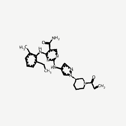 C=CC(=O)N1CCC[C@@H](n2cc(Nc3ncc(C(N)=O)c(Nc4c(C)cccc4CC)n3)cn2)C1